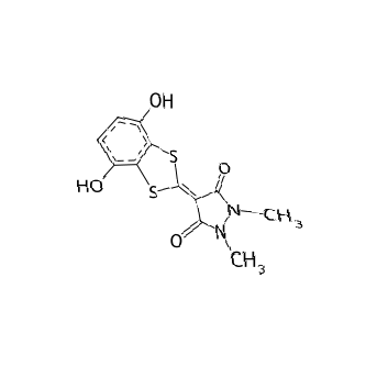 CN1C(=O)C(=C2Sc3c(O)ccc(O)c3S2)C(=O)N1C